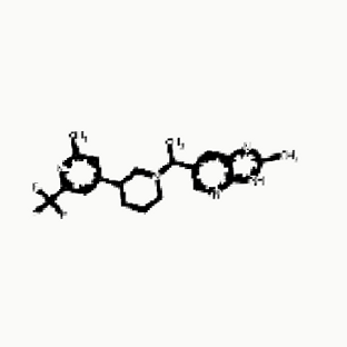 Cc1cc(C2CCCN(C(C)c3cnc4[nH]c(C)nc4c3)C2)cc(C(F)(F)F)n1